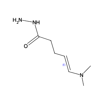 CN(C)/C=C/CCC(=O)NN